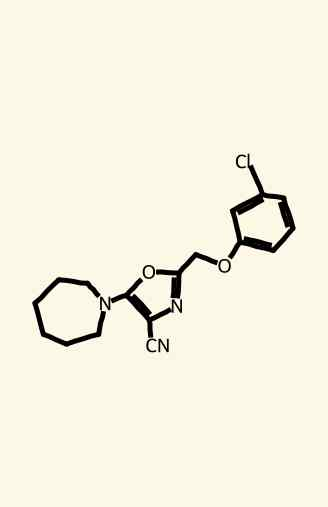 N#Cc1nc(COc2cccc(Cl)c2)oc1N1CCCCCC1